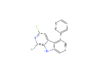 CC(C)c1nc(F)cc2c1[nH]c1cccc(-c3ccccc3)c12